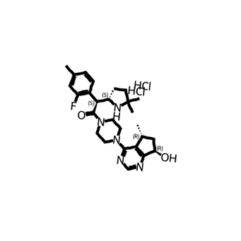 Cc1ccc([C@H](C(=O)N2CCN(c3ncnc4c3[C@H](C)C[C@H]4O)CC2)[C@@H]2CCC(C)(C)N2)c(F)c1.Cl.Cl